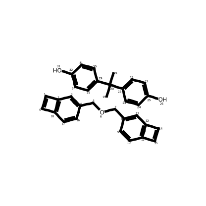 C1=Cc2cc(COCc3ccc4c(c3)C=C4)ccc21.CC(C)(c1ccc(O)cc1)c1ccc(O)cc1